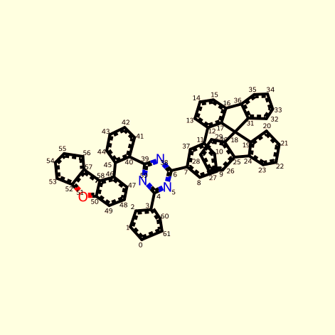 c1ccc(-c2nc(-c3cccc(-c4cccc5c4C4(c6ccccc6-c6ccccc64)c4ccccc4-5)c3)nc(-c3ccccc3-c3cccc4oc5ccccc5c34)n2)cc1